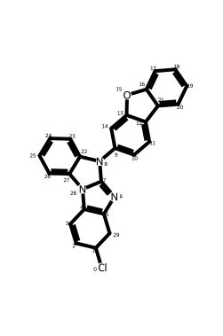 ClC1C=Cc2c(nc3n(-c4ccc5c(c4)oc4ccccc45)c4ccccc4n23)C1